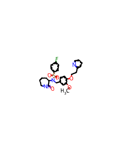 COc1cc(CN(C2CCCCNC2=O)S(=O)(=O)c2ccc(F)cc2)ccc1OCCc1ccccn1